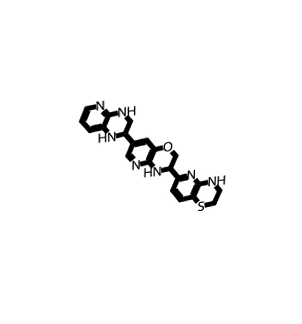 c1cnc2c(c1)NC(c1cnc3c(c1)OCC(c1ccc4c(n1)NCCS4)N3)CN2